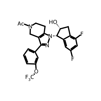 CC(=O)N1CCc2c(c(-c3cccc(OC(F)(F)F)c3)nn2[C@H]2c3cc(F)cc(F)c3C[C@H]2O)C1